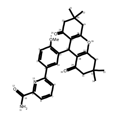 COc1ccc(-c2cccc(C(N)=O)n2)cc1C1C2=C(CC(C)(C)CC2=O)OC2=C1C(=O)CC(C)(C)C2